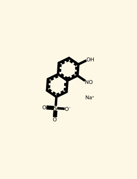 O=Nc1c(O)ccc2ccc(S(=O)(=O)[O-])cc12.[Na+]